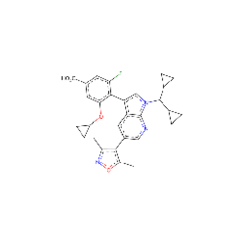 Cc1noc(C)c1-c1cnc2c(c1)c(-c1c(F)cc(C(=O)O)cc1OC1CC1)cn2C(C1CC1)C1CC1